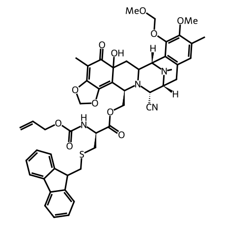 C=CCOC(=O)N[C@H](CSCC1c2ccccc2-c2ccccc21)C(=O)OC[C@H]1C2=C3OCOC3=C(C)C(=O)C2(O)CC2[C@@H]3c4c(cc(C)c(OC)c4OCOC)C[C@H]([C@H](C#N)N21)N3C